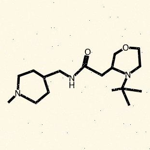 CN1CCC(CNC(=O)CC2COCCN2C(C)(C)C)CC1